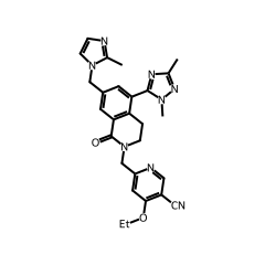 CCOc1cc(CN2CCc3c(cc(Cn4ccnc4C)cc3-c3nc(C)nn3C)C2=O)ncc1C#N